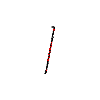 C#CCOCCOCCOCCOCCOCCOCCOCCOCCOCCOCCOCCOCCOCCOCCOCCOCCO